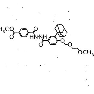 COCCOCOc1ccc(C(=O)NNC(=O)c2ccc(C(=O)OC)cc2)cc1C12CC3CC(CC(C3)C1)C2